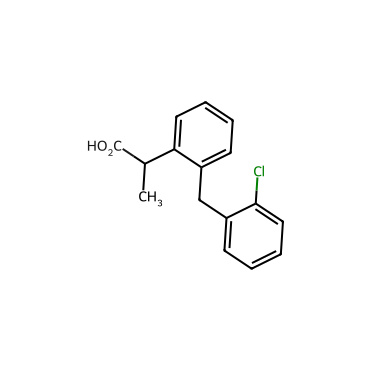 CC(C(=O)O)c1ccccc1Cc1ccccc1Cl